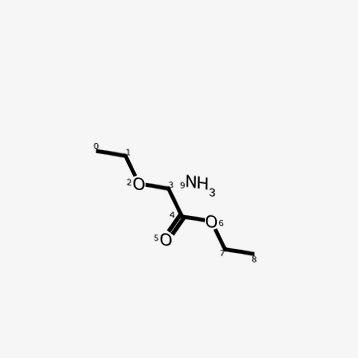 CCOCC(=O)OCC.N